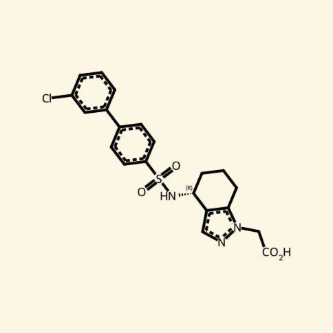 O=C(O)Cn1ncc2c1CCC[C@H]2NS(=O)(=O)c1ccc(-c2cccc(Cl)c2)cc1